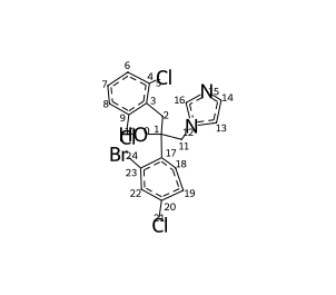 OC(Cc1c(Cl)cccc1Cl)(Cn1ccnc1)c1ccc(Cl)cc1Br